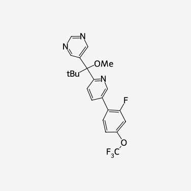 COC(c1cncnc1)(c1ccc(-c2ccc(OC(F)(F)F)cc2F)cn1)C(C)(C)C